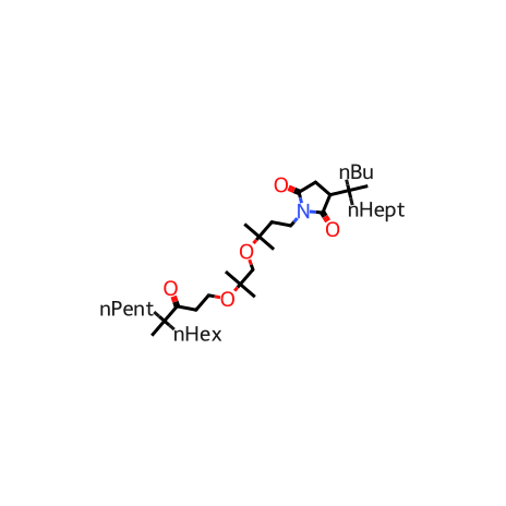 CCCCCCCC(C)(CCCC)C1CC(=O)N(CCC(C)(C)OCC(C)(C)OCCC(=O)C(C)(CCCCC)CCCCCC)C1=O